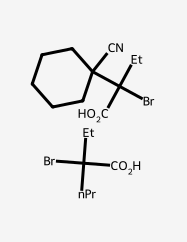 CCC(Br)(C(=O)O)C1(C#N)CCCCC1.CCCC(Br)(CC)C(=O)O